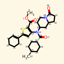 COC(=O)c1sc(C2=CCCCC2)cc1N(C(=O)[C@H]1CC[C@H](C)CC1)C1CCN2C(=O)CCC2C1